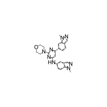 Cn1ncc2cc(Nc3cc(-c4ccc5cnn(C)c5c4)nc(N4CCOCC4)n3)ccc21